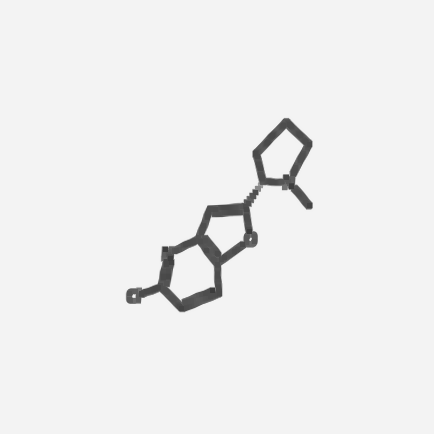 CN1CCC[C@H]1c1cc2nc(Cl)ccc2o1